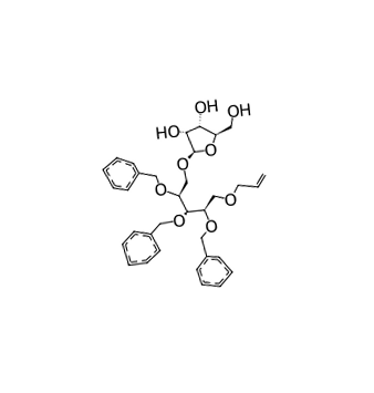 C=CCOC[C@@H](OCc1ccccc1)[C@@H](OCc1ccccc1)[C@H](CO[C@@H]1O[C@H](CO)[C@@H](O)[C@H]1O)OCc1ccccc1